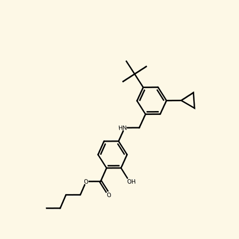 CCCCOC(=O)c1ccc(NCc2cc(C3CC3)cc(C(C)(C)C)c2)cc1O